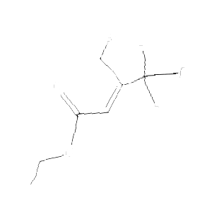 CCOC(=O)C=C(CBr)C(F)(F)F